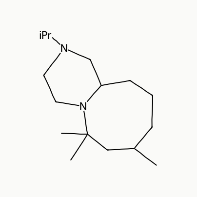 CC1CCCC2CN(C(C)C)CCN2C(C)(C)C1